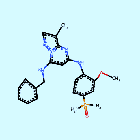 COc1cc(P(C)(C)=O)ccc1Nc1cc(NCc2ccccc2)n2ncc(C)c2n1